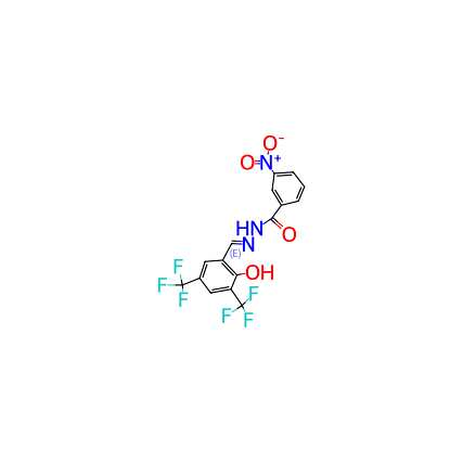 O=C(N/N=C/c1cc(C(F)(F)F)cc(C(F)(F)F)c1O)c1cccc([N+](=O)[O-])c1